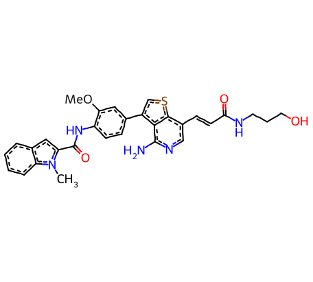 COc1cc(-c2csc3c(C=CC(=O)NCCCO)cnc(N)c23)ccc1NC(=O)c1cc2ccccc2n1C